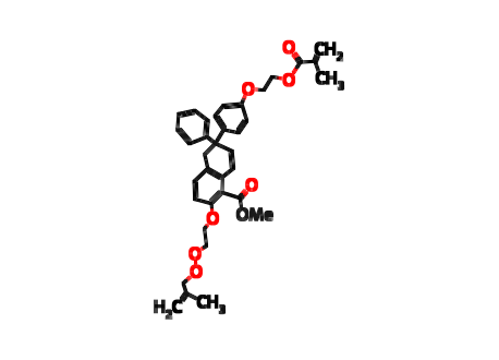 C=C(C)COOCCOc1ccc2c(c1C(=O)OC)C=CC(c1ccccc1)(c1ccc(OCCOC(=O)C(=C)C)cc1)C2